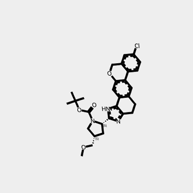 COC[C@H]1C[C@@H](c2nc3c([nH]2)-c2cc4c(cc2CC3)-c2ccc(Cl)cc2CO4)N(C(=O)OC(C)(C)C)C1